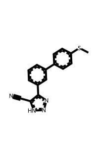 CSc1ccc(-c2cccc(-c3nn[nH]c3C#N)c2)cc1